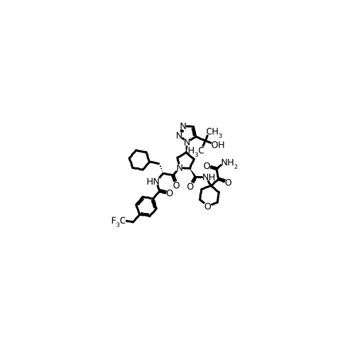 CC(C)(O)c1cnnn1[C@H]1C[C@@H](C(=O)NC2(C(=O)C(N)=O)CCOCC2)N(C(=O)[C@@H](CC2CCCCC2)NC(=O)c2ccc(CC(F)(F)F)cc2)C1